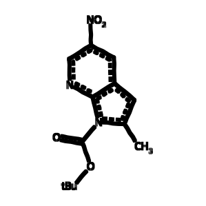 Cc1cc2cc([N+](=O)[O-])cnc2n1C(=O)OC(C)(C)C